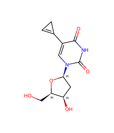 O=c1[nH]c(=O)n([C@H]2C[C@@H](O)[C@@H](CO)O2)cc1C1=CC1